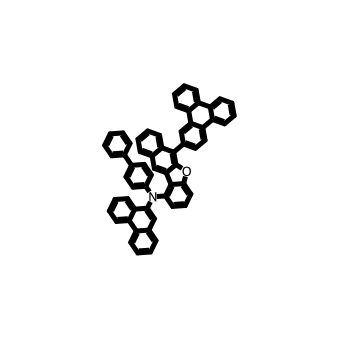 c1ccc(-c2ccc(N(c3cc4ccccc4c4ccccc34)c3cccc4oc5c(-c6ccc7c8ccccc8c8ccccc8c7c6)c6ccccc6cc5c34)cc2)cc1